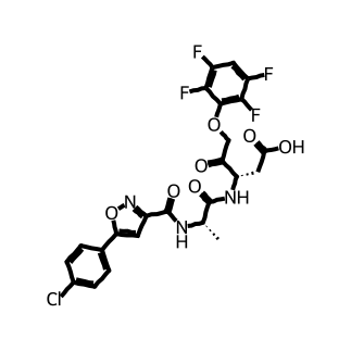 C[C@H](NC(=O)c1cc(-c2ccc(Cl)cc2)on1)C(=O)N[C@@H](CC(=O)O)C(=O)COc1c(F)c(F)cc(F)c1F